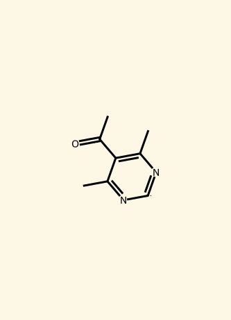 CC(=O)c1c(C)n[c]nc1C